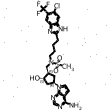 CS(=O)(=O)N(CCCCc1nc2cc(C(F)(F)F)c(Cl)cc2[nH]1)C[C@H]1C[C@@H](n2ccc3c(N)ncnc32)C[C@@H]1O